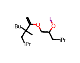 C=C(OCC(CC(C)C)OI)C(C)(CC(C)C)C(C)CC